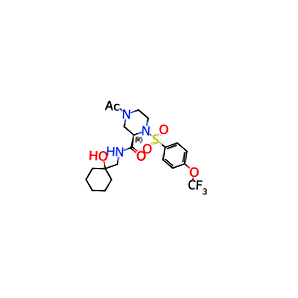 CC(=O)N1CCN(S(=O)(=O)c2ccc(OC(F)(F)F)cc2)[C@@H](C(=O)NCC2(O)CCCCC2)C1